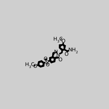 COc1ccc(S(=O)(=O)c2ccc3c(=O)n(Cc4ccc(OC)cc4C(N)=O)ncc3c2)cc1